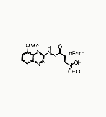 CCCCC[C@H](CN(O)C=O)C(=O)NNc1nnc2cccc(OC)c2n1